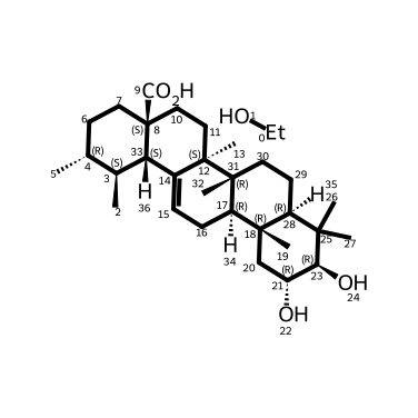 CCO.C[C@H]1[C@H](C)CC[C@]2(C(=O)O)CC[C@]3(C)C(=CC[C@@H]4[C@@]5(C)C[C@@H](O)[C@H](O)C(C)(C)[C@@H]5CC[C@]43C)[C@H]12